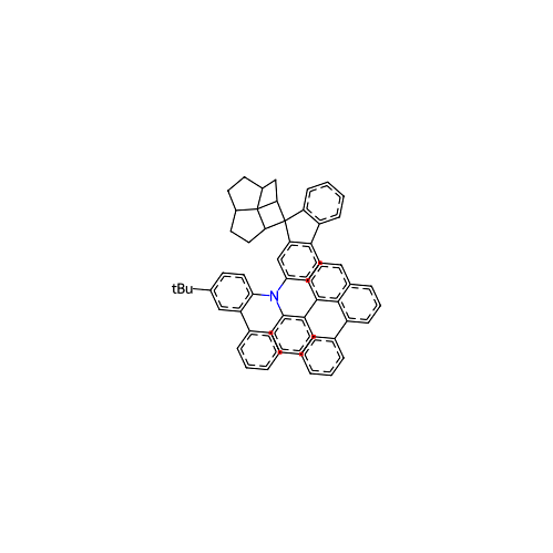 CC(C)(C)c1ccc(N(c2ccc3c(c2)C2(c4ccccc4-3)C3CCC4CCC5CC2C453)c2ccccc2-c2cccc3cccc(-c4ccccc4)c23)c(-c2ccccc2)c1